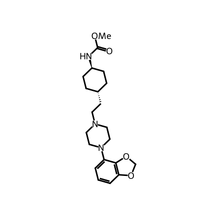 COC(=O)N[C@H]1CC[C@H](CCN2CCN(c3cccc4c3OCO4)CC2)CC1